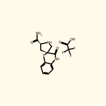 NC(=O)[C@@H]1C[C@]2(CN1)Sc1ccccc1NC2=O.O=C(O)C(F)(F)F